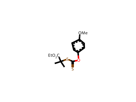 CCOC(=O)C(C)(C)SC(=S)Oc1ccc(OC)cc1